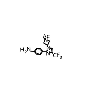 CC(=O)N1CC(n2cc(C(F)(F)F)nc2-c2ccc(CN)cc2)C1